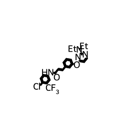 CCN(CC)c1nccc(Oc2cccc(/C=C/C(=O)Nc3ccc(Cl)c(C(F)(F)F)c3)c2)n1